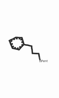 CC[CH]CCCCCc1ccccc1